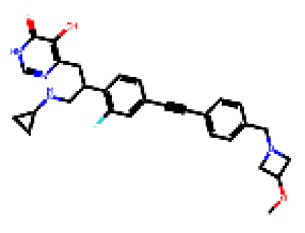 COC1CN(Cc2ccc(C#Cc3ccc(C(CNC4CC4)Cc4nc[nH]c(=O)c4O)c(F)c3)cc2)C1